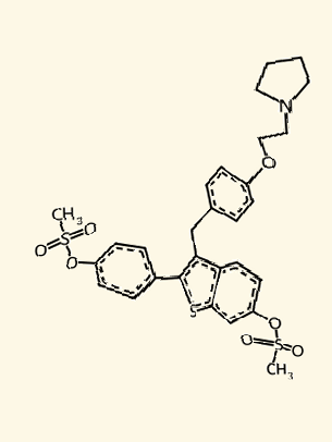 CS(=O)(=O)Oc1ccc(-c2sc3cc(OS(C)(=O)=O)ccc3c2Cc2ccc(OCCN3CCCC3)cc2)cc1